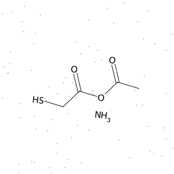 CC(=O)OC(=O)CS.N